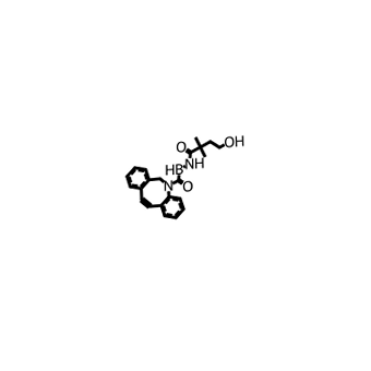 CC(C)(CCO)C(=O)NBC(=O)N1Cc2ccccc2C#Cc2ccccc21